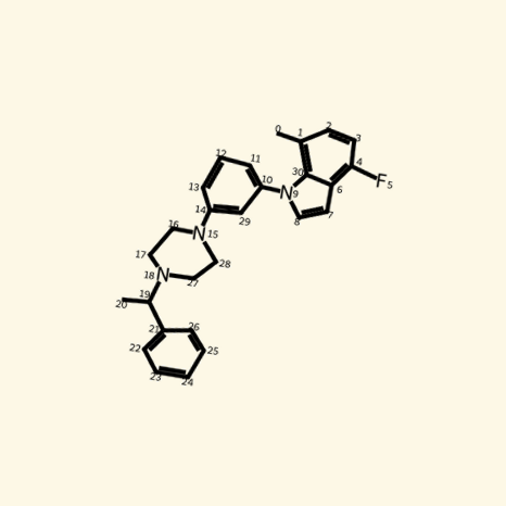 Cc1ccc(F)c2ccn(-c3cccc(N4CCN(C(C)c5ccccc5)CC4)c3)c12